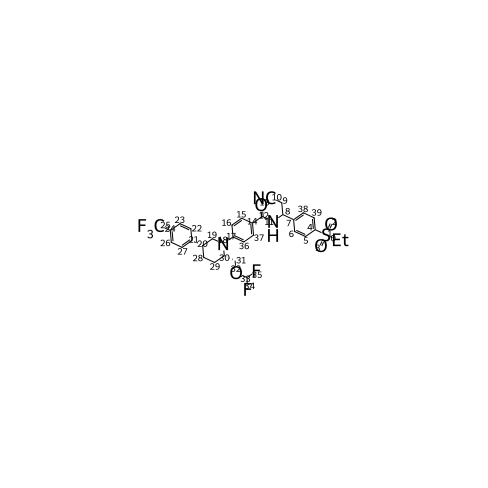 CCS(=O)(=O)c1ccc(C(CC#N)NC(=O)c2ccc(N3C[C@@H](c4ccc(C(F)(F)F)cc4)CC[C@H]3COC(F)F)cc2)cc1